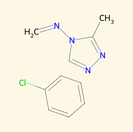 C=Nn1cnnc1C.Clc1ccccc1